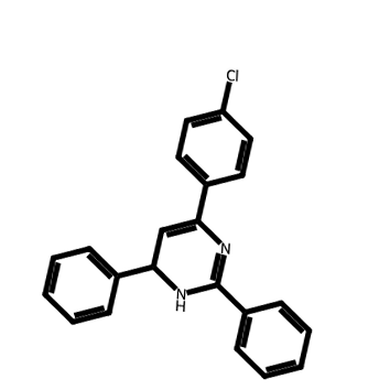 Clc1ccc(C2=CC(c3ccccc3)NC(c3ccccc3)=N2)cc1